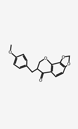 COc1ccc(CC2COc3c(ccc4c3OCO4)C2=O)cc1